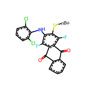 CCCCSc1c(F)c2c(c(F)c1Nc1c(Cl)cccc1Cl)C(=O)c1ccccc1C2=O